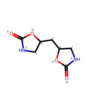 O=C1NCC(CC2CNC(=O)O2)O1